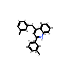 Cc1cccc(Cc2cc(-c3cccc(C)c3)nc3ccccc23)c1